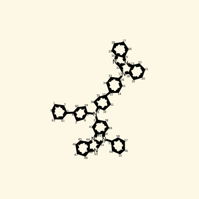 c1ccc(-c2ccc(N(c3ccc(-c4ccc(-n5c6ccccc6n6c7ccccc7nc56)cc4)cc3)c3ccc4c(c3)n3c5ccccc5nc3n4-c3ccccc3)cc2)cc1